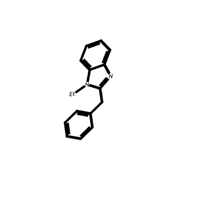 CCn1c(Cc2ccccc2)nc2ccccc21